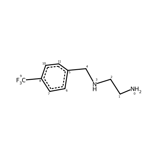 NCCNCc1ccc(C(F)(F)F)cc1